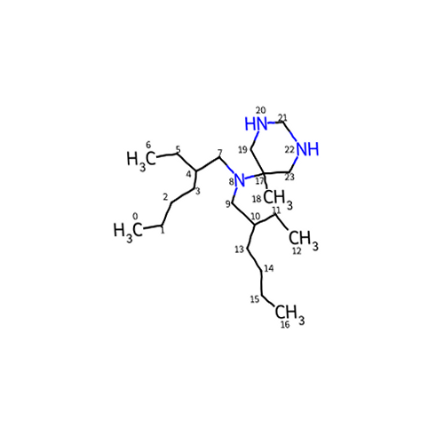 CCCCC(CC)CN(CC(CC)CCCC)C1(C)CNCNC1